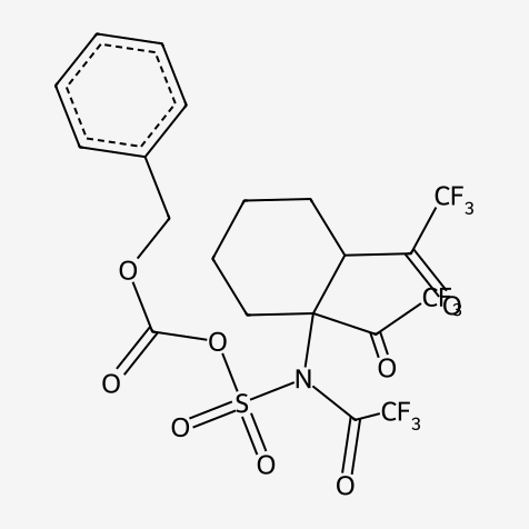 O=C(OCc1ccccc1)OS(=O)(=O)N(C(=O)C(F)(F)F)C1(C(=O)C(F)(F)F)CCCCC1C(=O)C(F)(F)F